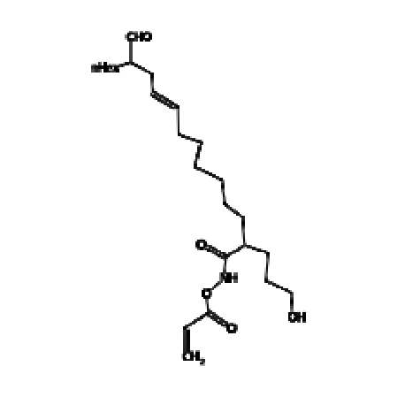 C=CC(=O)ONC(=O)C(CCCO)CCCCCCC=CCC(C=O)CCCCCC